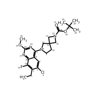 CCc1c(Cl)cc2c(N3CCC4(CN(C(=O)OC(C)(C)C)C4)C3)nc(OC)nc2c1F